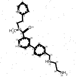 CN(CCc1ccccn1)C(=O)c1cncc(-c2ccc(CNCCN)cc2)c1